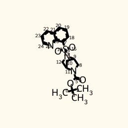 CC(C)(C)OC(=O)N1CC2CC1CN2S(=O)(=O)c1cccc2cccnc12